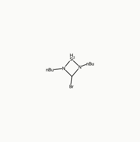 CCCCN1[SiH2]N(CCCC)C1Br